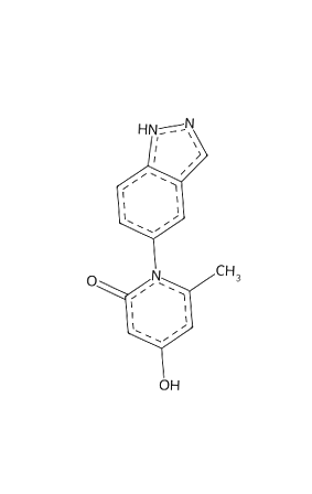 Cc1cc(O)cc(=O)n1-c1ccc2[nH]ncc2c1